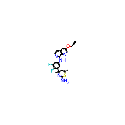 C#CCOc1cnc2c(Nc3cc(F)c(F)c([C@]4(C)C[C@@H](C)SC(N)=N4)c3)nccc2c1